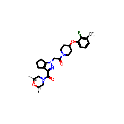 C[C@@H]1CN(C(=O)c2nn(CC(=O)N3CCC(Oc4cccc(C(F)(F)F)c4F)CC3)c3c2CCC3)C[C@H](C)O1